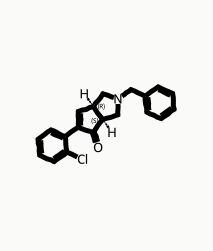 O=C1C(c2ccccc2Cl)=C[C@H]2CN(Cc3ccccc3)C[C@@H]12